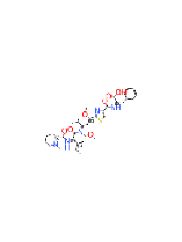 CC[C@H](C)[C@H](NC(=O)[C@H]1CCCCN1C)C(=O)N(COC)[C@H](C[C@@H](OC)c1nc(C(=O)N[C@@H](Cc2ccccc2)C(=O)O)cs1)C(C)C